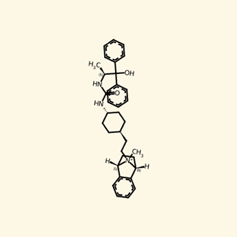 C[C@H](NC(=O)N[C@H]1CC[C@H](CC[N+]2(C)[C@@H]3CC[C@H]2c2ccccc23)CC1)C(O)(c1ccccc1)c1ccccc1